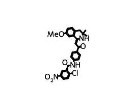 COc1ccc2c(c1)C(=CC(=O)c1ccc(NC(=O)c3cc([N+](=O)[O-])ccc3Cl)cc1)NC(C)(C)C2